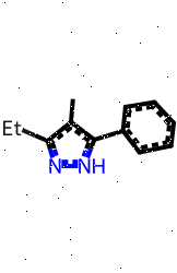 CCc1n[nH]c(-c2ccccc2)c1C